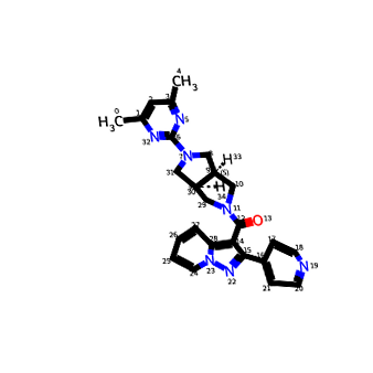 Cc1cc(C)nc(N2C[C@H]3CN(C(=O)c4c(-c5ccncc5)nn5ccccc45)C[C@H]3C2)n1